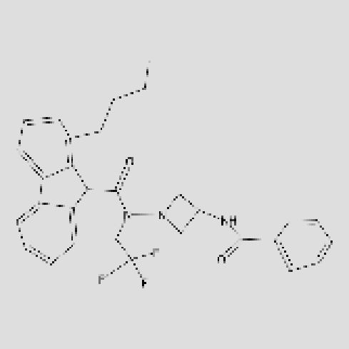 CCCCc1cccc2c1C(C(=O)N(CC(F)(F)F)N1CC(NC(=O)c3ccccc3)C1)c1ccccc1-2